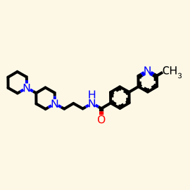 Cc1ccc(-c2ccc(C(=O)NCCCN3CCC(N4CCCCC4)CC3)cc2)cn1